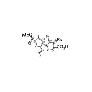 CC=Cc1cc(C(=O)OC)ccc1N1CCN(C(=O)O)C(C(C)(C)C)C1C